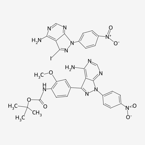 COc1cc(-c2nn(-c3ccc([N+](=O)[O-])cc3)c3ncnc(N)c23)ccc1NC(=O)OC(C)(C)C.Nc1ncnc2c1c(I)nn2-c1ccc([N+](=O)[O-])cc1